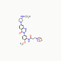 O=C(O)NC1CCN(c2ccc3c(=O)n(-c4ccc(OC(F)(F)F)c(NC(=O)CCN5CC6CC(C5)O6)c4)cnc3c2)C1